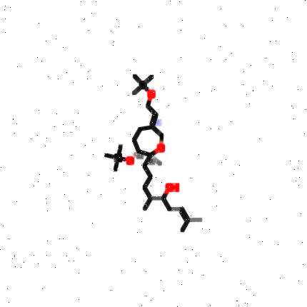 CC(C)=CCC(O)C(C)CCC[C@]1(C)OC/C(=C/CO[Si](C)(C)C)CC[C@H]1O[Si](C)(C)C